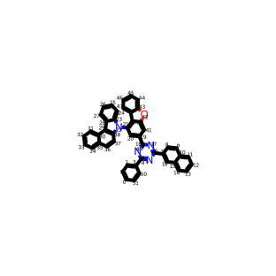 c1ccc(-c2nc(-c3ccc4ccccc4c3)nc(-c3cc(-n4c5ccccc5c5c6ccccc6ccc54)c4c(c3)oc3ccccc34)n2)cc1